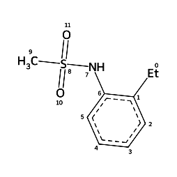 CCc1ccccc1NS(C)(=O)=O